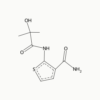 CC(C)(O)C(=O)Nc1sccc1C(N)=O